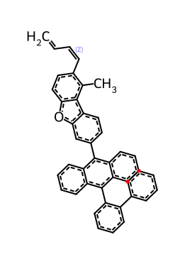 C=C/C=C\c1ccc2oc3cc(-c4c5ccccc5c(-c5ccccc5-c5ccccc5)c5ccccc45)ccc3c2c1C